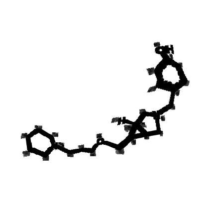 Oc1ccc(CN2CC3C(COCCCN4CCCCC4)[C@@H]3C2)cc1